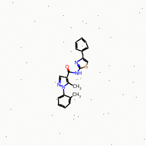 Cc1ccccc1-n1ncc(C(=O)Nc2nc(-c3ccccc3)cs2)c1C